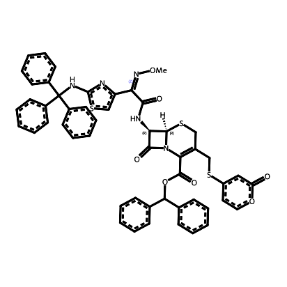 CO/N=C(\C(=O)N[C@@H]1C(=O)N2C(C(=O)OC(c3ccccc3)c3ccccc3)=C(CSc3ccoc(=O)c3)CS[C@H]12)c1csc(NC(c2ccccc2)(c2ccccc2)c2ccccc2)n1